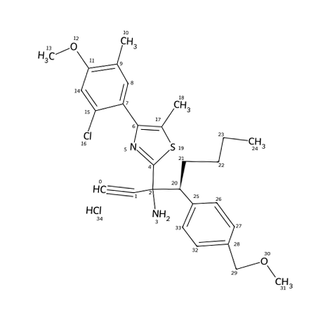 C#CC(N)(c1nc(-c2cc(C)c(OC)cc2Cl)c(C)s1)[C@@H](CCCC)c1ccc(COC)cc1.Cl